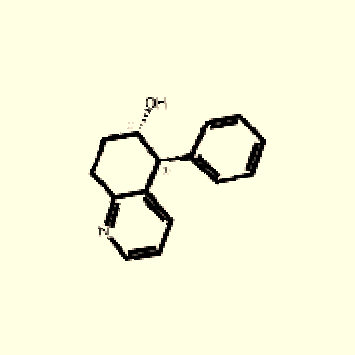 O[C@H]1CCc2ncccc2[C@@H]1c1ccccc1